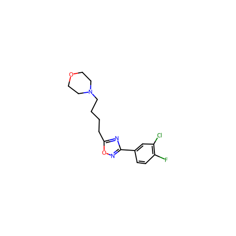 Fc1ccc(-c2noc(CCCCN3CCOCC3)n2)cc1Cl